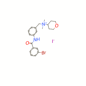 C[N+](C)(Cc1cccc(NC(=O)c2cccc(Br)c2)c1)C1CCOCC1.[I-]